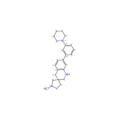 N#CN1CCC2(CNc3cc(-c4cccc(N5CCCCC5)c4)ccc3C2)C1